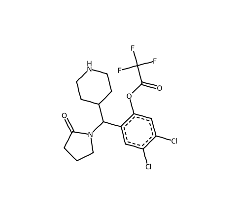 O=C1CCCN1C(c1cc(Cl)c(Cl)cc1OC(=O)C(F)(F)F)C1CCNCC1